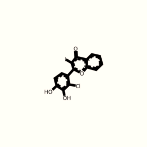 O=c1c(I)c(-c2ccc(O)c(O)c2Cl)oc2ccccc12